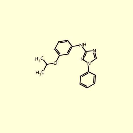 CC(C)Oc1cccc(Nc2ncn(-c3ccccc3)n2)c1